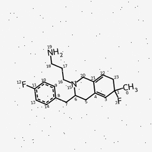 CC1(F)C=C2CC(Cc3ccc(F)cc3)N(CCCN)CC2=CC1